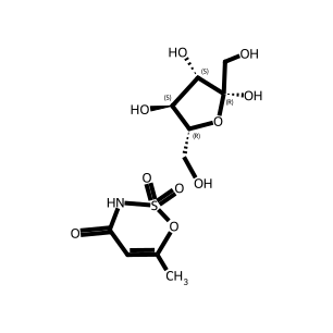 CC1=CC(=O)NS(=O)(=O)O1.OC[C@H]1O[C@](O)(CO)[C@@H](O)[C@@H]1O